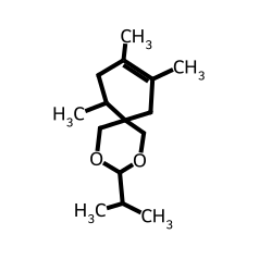 CC1=C(C)CC2(COC(C(C)C)OC2)C(C)C1